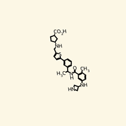 Cc1ccc(NC2CNC2)cc1C(=O)NC(C)c1cccc(-c2ccc(CN[C@H]3CC[C@@H](C(=O)O)C3)s2)c1